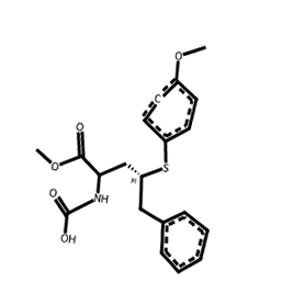 COC(=O)C(C[C@@H](Cc1ccccc1)Sc1ccc(OC)cc1)NC(=O)O